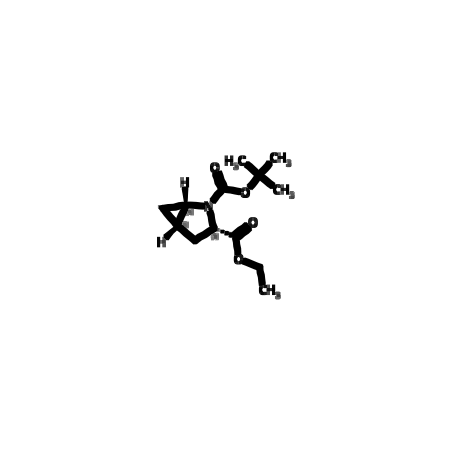 CCOC(=O)[C@@H]1C[C@@H]2C[C@@H]2N1C(=O)OC(C)(C)C